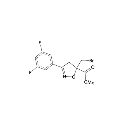 COC(=O)C1(CBr)CC(c2cc(F)cc(F)c2)=NO1